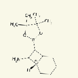 CC1(C)OB(C2C(N)[C@H]3CCCCC23)OC1(C)C